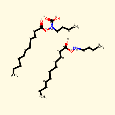 CCCCCCCCCCC(=O)ON(CCCC)C(=O)O.CCCCCCCCCCC(=O)ONCCCC